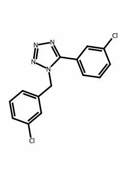 Clc1cccc(Cn2nnnc2-c2cccc(Cl)c2)c1